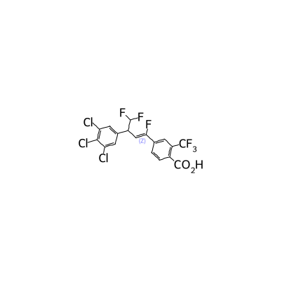 O=C(O)c1ccc(/C(F)=C/C(c2cc(Cl)c(Cl)c(Cl)c2)C(F)F)cc1C(F)(F)F